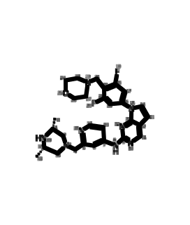 C[C@@H]1CN(Cc2cc(Nc3ncc4ccn(-c5cc(F)c(CN6CCOCC6)c(F)c5)c4n3)ccn2)C[C@H](C)N1